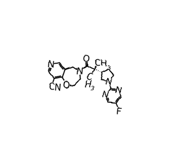 CC(C)(C(=O)N1CCOc2c(C#N)cncc2C1)[C@@H]1CCN(c2ncc(F)cn2)C1